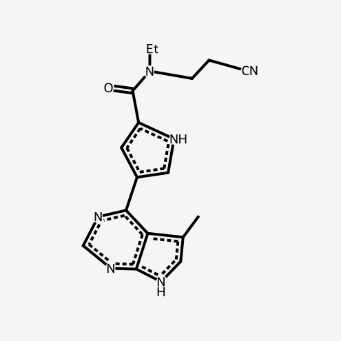 CCN(CCC#N)C(=O)c1cc(-c2ncnc3[nH]cc(C)c23)c[nH]1